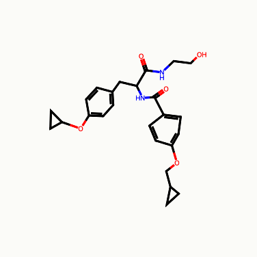 O=C(NC(Cc1ccc(OC2CC2)cc1)C(=O)NCCO)c1ccc(OCC2CC2)cc1